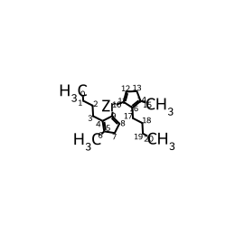 CCCCC1=C(C)CC=[C]1[Zr][C]1=CCC(C)=C1CCCC